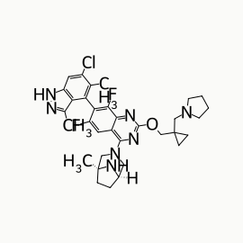 Cc1c(Cl)cc2[nH]nc(C)c2c1-c1c(F)cc2c(N3C[C@H]4CC[C@@](C)(C3)N4)nc(OCC3(CN4CCCC4)CC3)nc2c1F